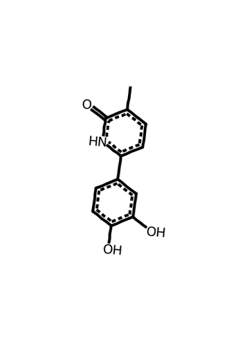 Cc1ccc(-c2ccc(O)c(O)c2)[nH]c1=O